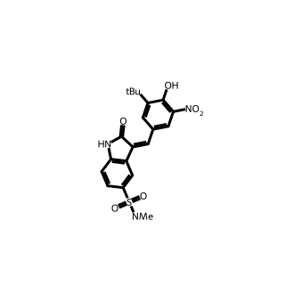 CNS(=O)(=O)c1ccc2c(c1)C(=Cc1cc([N+](=O)[O-])c(O)c(C(C)(C)C)c1)C(=O)N2